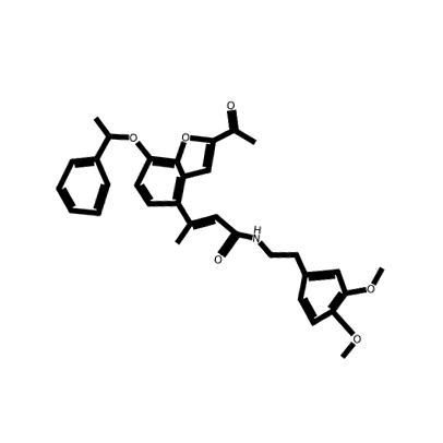 COc1ccc(CCNC(=O)C=C(C)c2ccc(OC(C)c3ccccc3)c3oc(C(C)=O)cc23)cc1OC